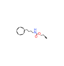 C#CCCOC(=O)NCCCCc1ccccccccc1